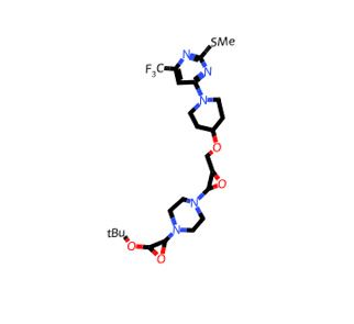 CSc1nc(N2CCC(OCC3OC3N3CCN(C4OC4OC(C)(C)C)CC3)CC2)cc(C(F)(F)F)n1